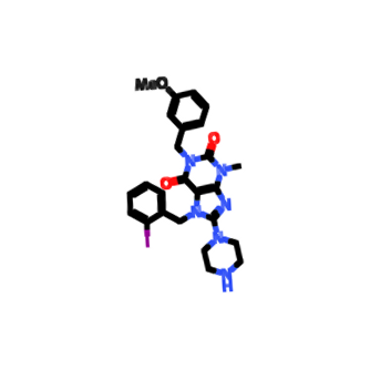 COc1cccc(Cn2c(=O)c3c(nc(N4CCNCC4)n3Cc3ccccc3I)n(C)c2=O)c1